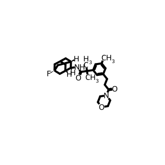 Cc1cc(CCC(=O)N2CCOCC2)cc(C(C)(C)C(=O)N[C@H]2[C@@H]3CC4C[C@H]2C[C@](F)(C4)C3)c1